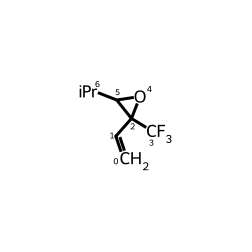 C=CC1(C(F)(F)F)OC1C(C)C